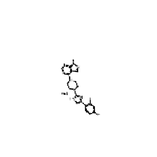 Cl.Fc1ccc(-c2c[nH]c(C3CCN(c4ncnc5[nH]ncc45)CC3)n2)c(F)c1